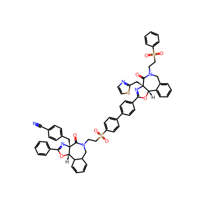 N#Cc1ccc(C[C@]23N=C(c4ccccc4)O[C@H]2C2C=CC=CC2CN(CCS(=O)(=O)c2ccc(-c4ccc(C5=N[C@]6(Cc7nccs7)C(=O)N(CCS(=O)(=O)c7ccccc7)Cc7ccccc7[C@@H]6O5)cc4)cc2)C3=O)cc1